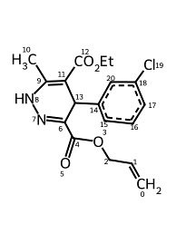 C=CCOC(=O)C1=NNC(C)=C(C(=O)OCC)C1c1cccc(Cl)c1